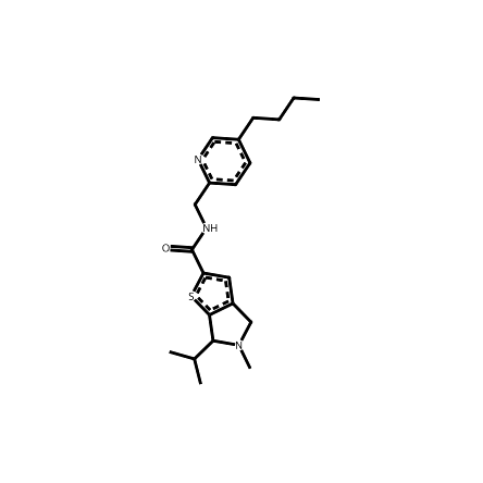 CCCCc1ccc(CNC(=O)c2cc3c(s2)C(C(C)C)N(C)C3)nc1